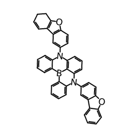 C1=Cc2c(oc3ccc(N4c5ccccc5B5c6ccccc6N(c6ccc7oc8ccccc8c7c6)c6cccc4c65)cc23)CC1